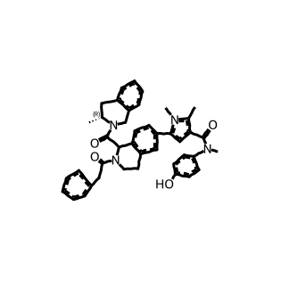 Cc1c(C(=O)N(C)c2ccc(O)cc2)cc(-c2ccc3c(c2)CCN(C(=O)Cc2ccccc2)C3C(=O)N2Cc3ccccc3C[C@H]2C)n1C